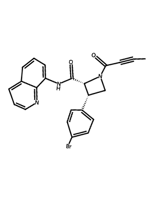 CC#CC(=O)N1C[C@H](c2ccc(Br)cc2)[C@@H]1C(=O)Nc1cccc2cccnc12